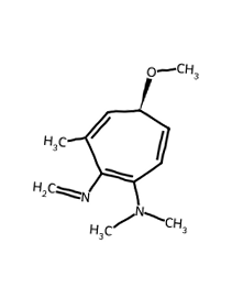 C=NC1=C(N(C)C)C=C[C@H](OC)C=C1C